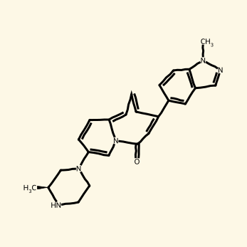 C[C@H]1CN(C2=CN3C(=O)\C=C(c4ccc5c(cnn5C)c4)/C=C/C=C/3C=C2)CCN1